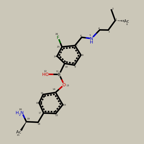 CC(=O)[C@@H](C)CCNCc1ccc(B(O)Oc2ccc(C[C@H](N)C(C)=O)cc2)cc1F